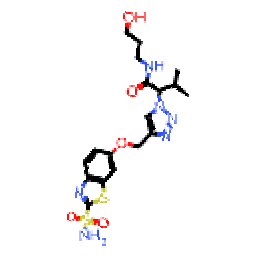 CC(C)C(C(=O)NCCCO)n1cc(COc2ccc3nc(S(N)(=O)=O)sc3c2)nn1